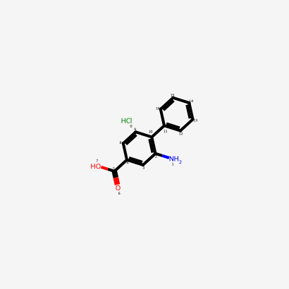 Cl.Nc1cc(C(=O)O)ccc1-c1ccccc1